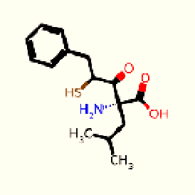 CC(C)C[C@](N)(C(=O)O)C(=O)C(S)Cc1ccccc1